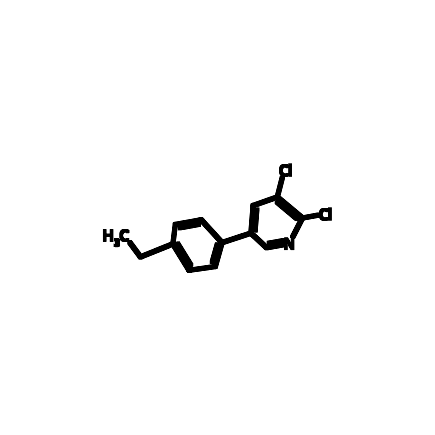 CCc1ccc(-c2cnc(Cl)c(Cl)c2)cc1